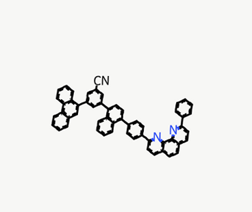 N#Cc1cc(-c2ccc(-c3ccc(-c4ccc5ccc6ccc(-c7ccccc7)nc6c5n4)cc3)c3ccccc23)cc(-c2cc3ccccc3c3ccccc23)c1